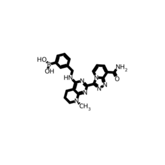 CN1CCCc2c(NCc3cccc(B(O)O)c3)nc(-c3nnc4c(C(N)=O)cccn34)nc21